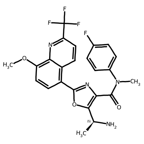 COc1ccc(-c2nc(C(=O)N(C)c3ccc(F)cc3)c([C@H](C)N)o2)c2ccc(C(F)(F)F)nc12